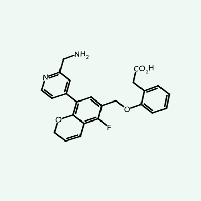 NCc1cc(-c2cc(COc3ccccc3CC(=O)O)c(F)c3c2OCC=C3)ccn1